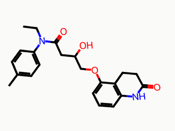 CCN(C(=O)CC(O)COc1cccc2c1CCC(=O)N2)c1ccc(C)cc1